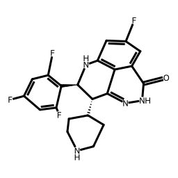 O=c1[nH]nc2c3c(cc(F)cc13)N[C@H](c1c(F)cc(F)cc1F)[C@H]2C1CCNCC1